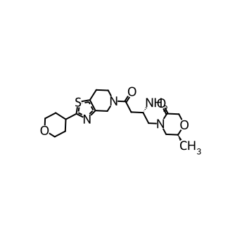 C[C@H]1CN(C[C@@H](N)CC(=O)N2CCc3sc(C4CCOCC4)nc3C2)C(=O)CO1